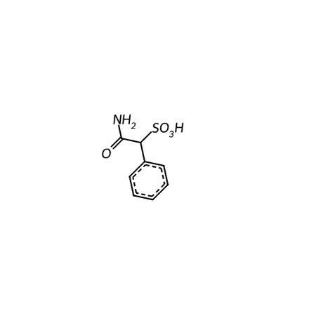 NC(=O)C(c1ccccc1)S(=O)(=O)O